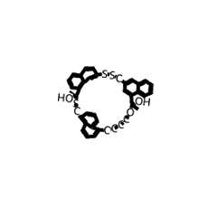 CC1(O)OCCCCc2cccc3c(cccc23)CS[C@](C)(O)c2cccc3ccc(cc23)SSCc2cc1c1ccccc1c2